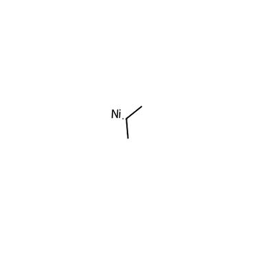 C[CH]C.[Ni]